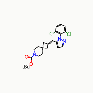 CC(C)(C)OC(=O)N1CCC2(CC1)CC(=Cc1ccnn1-c1c(Cl)cccc1Cl)C2